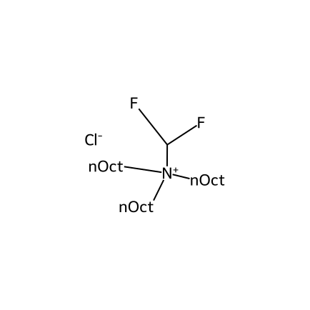 CCCCCCCC[N+](CCCCCCCC)(CCCCCCCC)C(F)F.[Cl-]